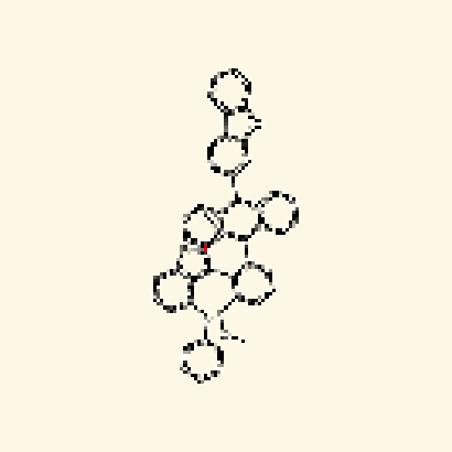 CCc1nc2cccc(Oc3ccccc3)c2n1-c1c(COC)cccc1-c1c2ccccc2c(-c2ccc3c(c2)oc2ccccc23)c2ccccc12